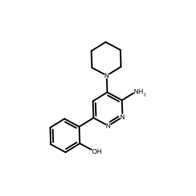 Nc1nnc(-c2ccccc2O)cc1N1CCCCC1